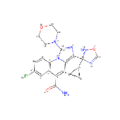 NC(=O)c1cc2c(C3(C4CC4)N=CON3)nc(N3CCOCC3)n2c2ccc(F)cc12